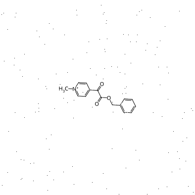 C[n+]1ccc(C(=O)C(=O)OCc2ccccc2)cc1